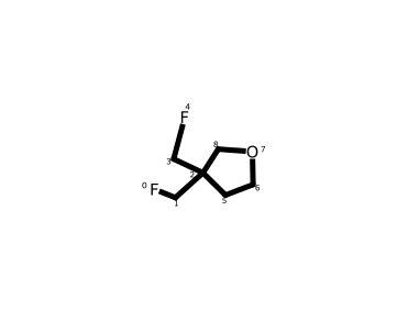 FCC1(CF)CCOC1